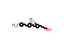 CC1CCC(CCC2CCC(CCC3CCC(CCCCCO)CC3C)C(C)C2)CC1